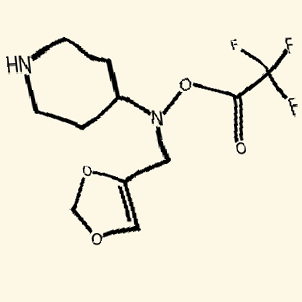 O=C(ON(CC1=COCO1)C1CCNCC1)C(F)(F)F